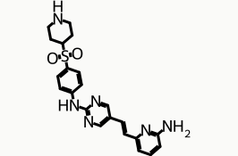 Nc1cccc(C=Cc2cnc(Nc3ccc(S(=O)(=O)C4CCNCC4)cc3)nc2)n1